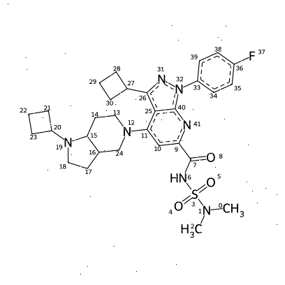 CN(C)S(=O)(=O)NC(=O)c1cc(N2CCC3C(CCN3C3CCC3)C2)c2c(C3CCC3)nn(-c3ccc(F)cc3)c2n1